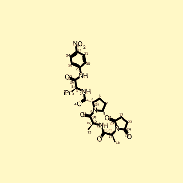 CC(C)[C@H](NC(=O)[C@@H]1CCCN1C(=O)[C@H](C)NC(=O)[C@H](C)N1C(=O)CCC1=O)C(=O)Nc1ccc([N+](=O)[O-])cc1